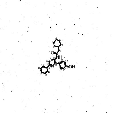 O=C(CC1CCCCC1)Nc1ncc(-c2ccccc2)nc1-c1ccc(O)cc1